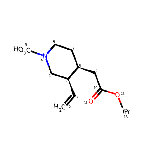 C=C[C@H]1CN(C(=O)O)CC[C@H]1CC(=O)OC(C)C